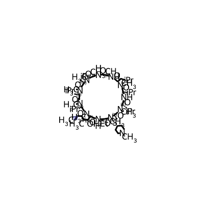 C/C=C/C[C@@H](C)[C@@H](O)[C@@H]1C(=O)N[C@H](CC)C(=O)N(C)[C@H](CSC2CCN(C)CC2)C(=O)N(C)[C@@H](CC(C)C)C(=O)N[C@H](C(C)C)C(=O)N(C)C(CC(C)C)C(=O)N[C@H](C)C(=O)N[C@@H](C)C(=O)N(C)[C@H](CC(C)C)C(=O)N(C)[C@H](CC(C)C)C(=O)N(C)[C@H](C(C)C)C(=O)N1C